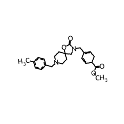 COC(=O)C1C=CC(CN2CC3(CCN(Cc4ccc(C)cc4)CC3)OC2=O)=CC1